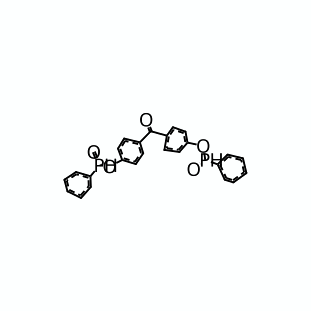 O=C(c1ccc(O[PH](=O)c2ccccc2)cc1)c1ccc(O[PH](=O)c2ccccc2)cc1